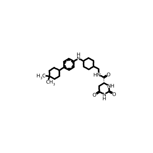 CC1(C)CCC(c2ccc(NC3CCC(CNC(=O)[C@H]4CC(=O)NC(=O)N4)CC3)cc2)CC1